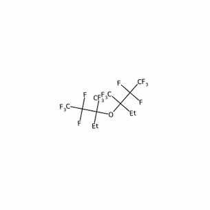 CCC(OC(CC)(C(F)(F)F)C(F)(F)C(F)(F)F)(C(F)(F)F)C(F)(F)C(F)(F)F